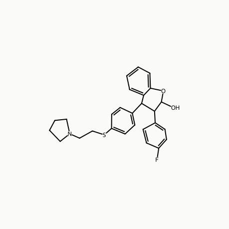 OC1Oc2ccccc2C(c2ccc(SCCN3CCCC3)cc2)C1c1ccc(F)cc1